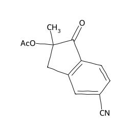 CC(=O)OC1(C)Cc2cc(C#N)ccc2C1=O